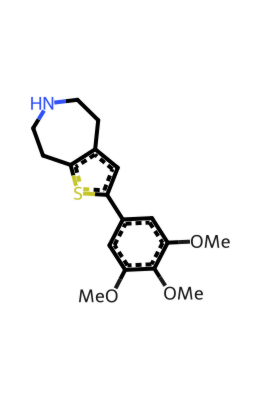 COc1cc(-c2cc3c(s2)CCNCC3)cc(OC)c1OC